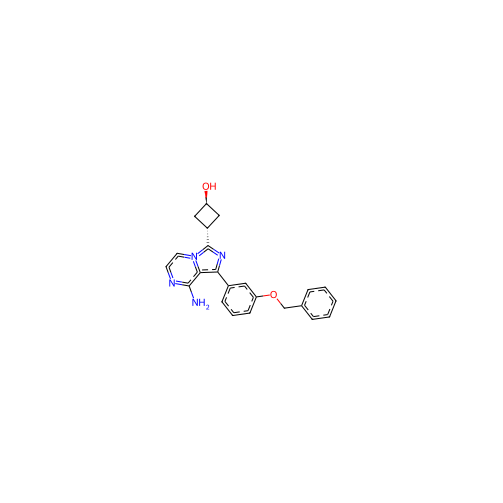 Nc1nccn2c1c(-c1cccc(OCc3ccccc3)c1)nc2[C@H]1C[C@H](O)C1